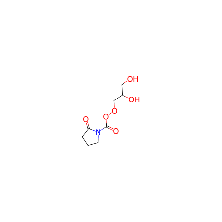 O=C1CCCN1C(=O)OOCC(O)CO